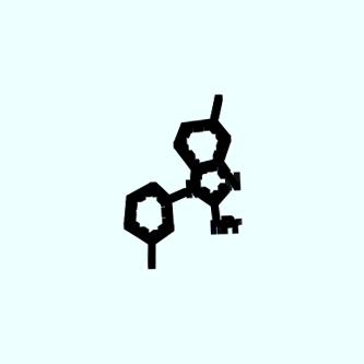 CCCc1nc2cc(C)ccc2n1-c1cccc(C)c1